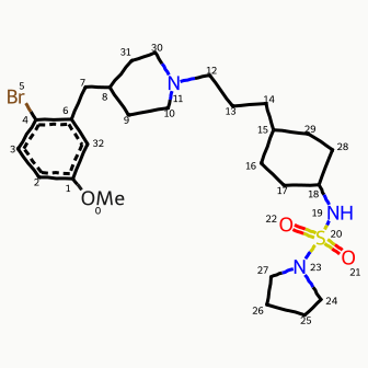 COc1ccc(Br)c(CC2CCN(CCCC3CCC(NS(=O)(=O)N4CCCC4)CC3)CC2)c1